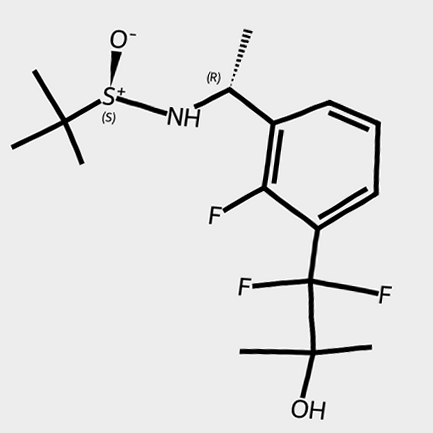 C[C@@H](N[S@+]([O-])C(C)(C)C)c1cccc(C(F)(F)C(C)(C)O)c1F